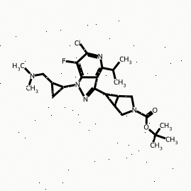 CC(C)c1nc(Cl)c(F)c2c1c(C1C3CN(C(=O)OC(C)(C)C)CC31)nn2C1CC1CN(C)C